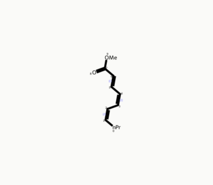 CCC\C=C/C=C\C=C\C(=O)OC